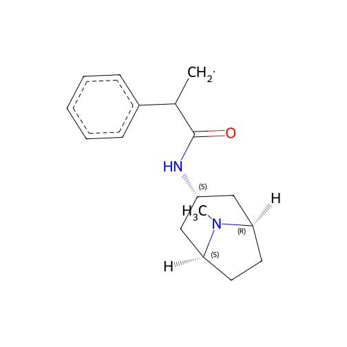 [CH2]C(C(=O)N[C@@H]1C[C@H]2CC[C@@H](C1)N2C)c1ccccc1